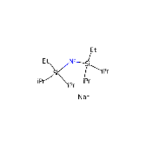 CC[Si]([N-][Si](CC)(C(C)C)C(C)C)(C(C)C)C(C)C.[Na+]